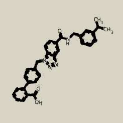 CC(C)c1cccc(CNC(=O)c2ccc3c(c2)nnn3Cc2ccc(-c3ccccc3C(=O)O)cc2)c1